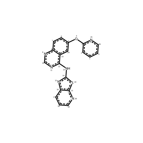 c1ccc(Oc2ccc3ncnc(Nc4nc5cccnc5s4)c3c2)nc1